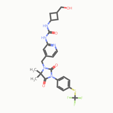 CC1(C)C(=O)N(c2ccc(SC(F)(F)F)cc2)C(=O)N1Cc1ccnc(NC(=O)NC2CC(CO)C2)c1